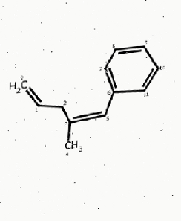 C=CCC(C)=Cc1ccccc1